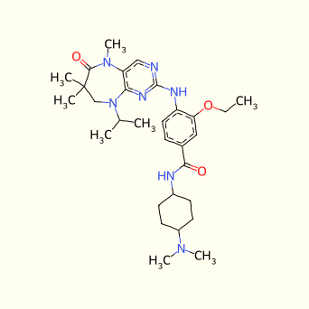 CCOc1cc(C(=O)NC2CCC(N(C)C)CC2)ccc1Nc1ncc2c(n1)N(C(C)C)CC(C)(C)C(=O)N2C